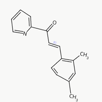 Cc1ccc(/C=C/C(=O)c2ccccn2)c(C)c1